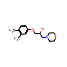 Cc1ccc(OC[C@@H](O)CN2CCOCC2)cc1C